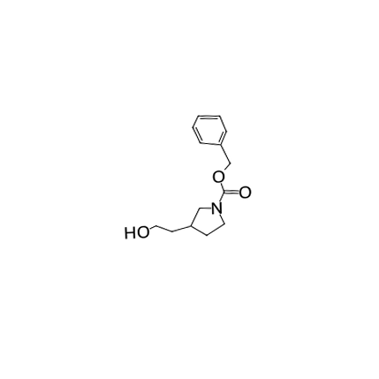 O=C(OCc1ccccc1)N1CCC(CCO)C1